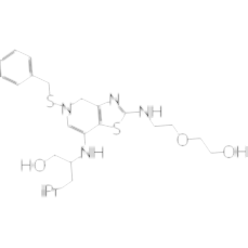 CC(C)CC(CO)NC1=CN(SCc2ccccc2)Cc2nc(NCCOCCO)sc21